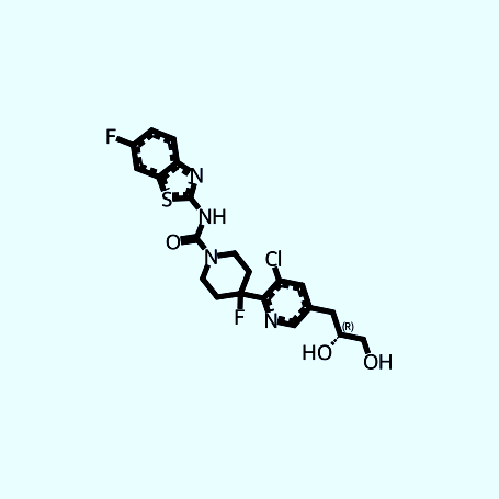 O=C(Nc1nc2ccc(F)cc2s1)N1CCC(F)(c2ncc(C[C@@H](O)CO)cc2Cl)CC1